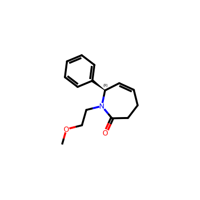 COCCN1C(=O)CCC=C[C@@H]1c1ccccc1